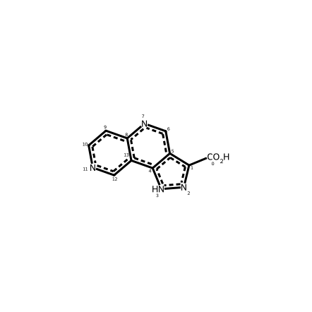 O=C(O)c1n[nH]c2c1cnc1ccncc12